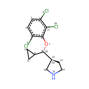 Clc1ccc(Cl)c(O[C@@H](C2CC2)[C@H]2CCNC2)c1Cl